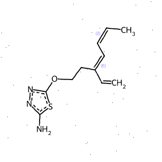 C=C/C(=C/C=C\C)CCOc1nnc(N)s1